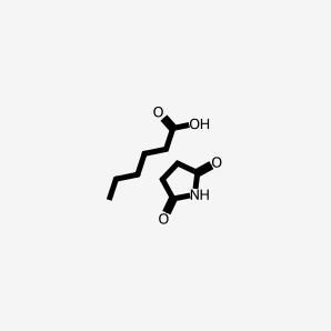 CCCCCC(=O)O.O=C1CCC(=O)N1